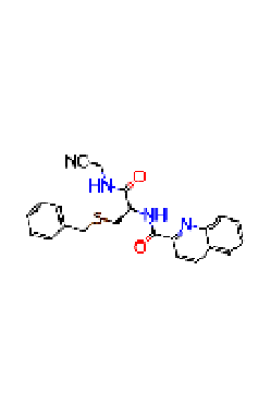 N#CCNC(=O)[C@H](CSCc1ccccc1)NC(=O)c1ccc2ccccc2n1